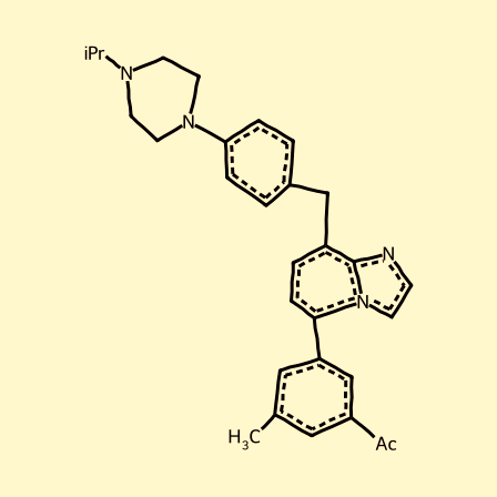 CC(=O)c1cc(C)cc(-c2ccc(Cc3ccc(N4CCN(C(C)C)CC4)cc3)c3nccn23)c1